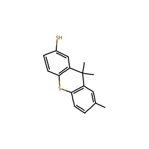 Cc1ccc2c(c1)C(C)(C)c1cc(S)ccc1S2